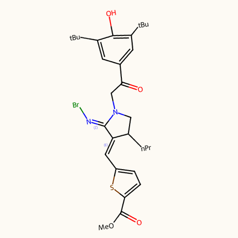 CCCC1CN(CC(=O)c2cc(C(C)(C)C)c(O)c(C(C)(C)C)c2)C(=N\Br)/C1=C/c1ccc(C(=O)OC)s1